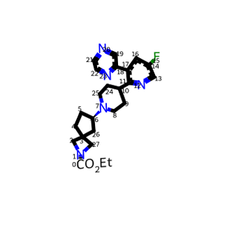 CCOC(=O)N1CC2(CC[C@@H](N3CCC(c4ncc(F)cc4-c4cnccn4)CC3)C2)C1